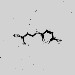 BC(B)CCOC(=O)/C=C\C(=O)O